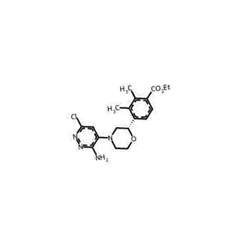 CCOC(=O)c1ccc([C@H]2CN(c3cc(Cl)nnc3N)CCO2)c(C)c1C